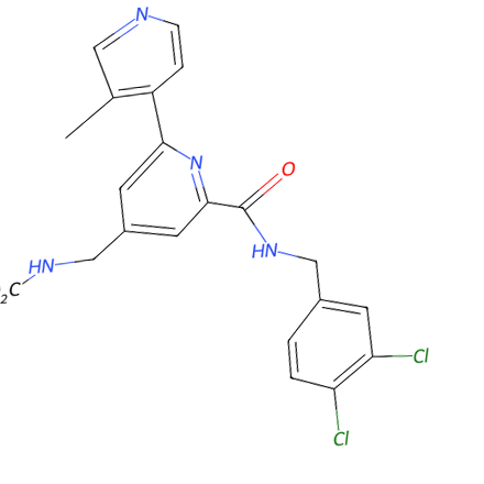 Cc1cnccc1-c1cc(CNC(=O)O)cc(C(=O)NCc2ccc(Cl)c(Cl)c2)n1